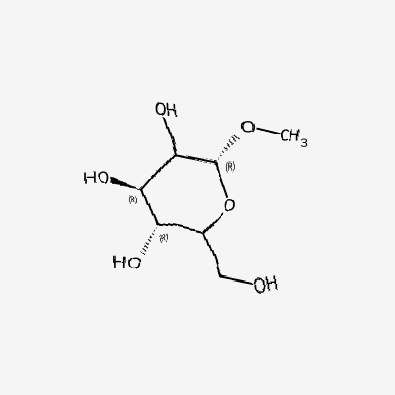 CO[C@@H]1OC(CO)[C@H](O)[C@@H](O)C1O